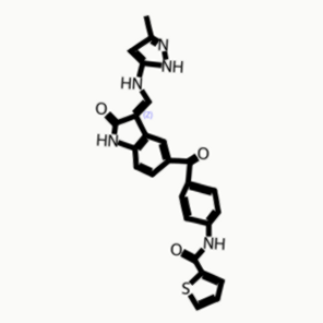 Cc1cc(N/C=C2\C(=O)Nc3ccc(C(=O)c4ccc(NC(=O)c5cccs5)cc4)cc32)[nH]n1